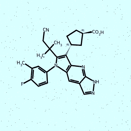 Cc1cc(-n2c(C(C)(C)CC#N)c([C@@H]3CC[C@@H](C(=O)O)C3)c3nc4[nH]ncc4cc32)ccc1F